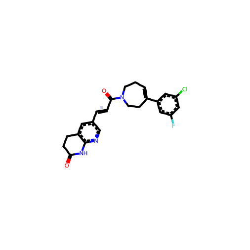 O=C1CCc2cc(/C=C/C(=O)N3CCC=C(c4cc(F)cc(Cl)c4)CC3)cnc2N1